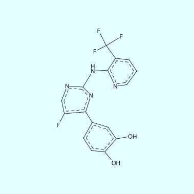 Oc1ccc(-c2nc(Nc3ncccc3C(F)(F)F)ncc2F)cc1O